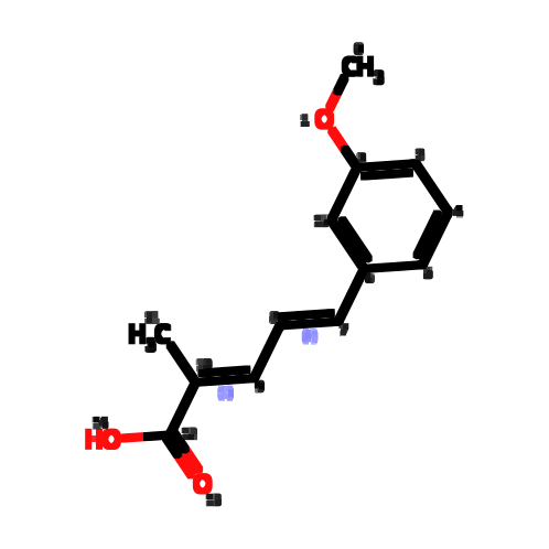 COc1cccc(/C=C/C=C(\C)C(=O)O)c1